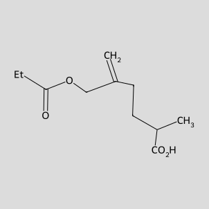 C=C(CCC(C)C(=O)O)COC(=O)CC